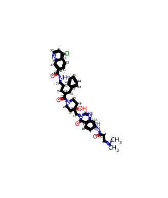 CN(C)CCC(=O)Nc1ccc2c(=O)n(CC3(O)CCN(C(=O)C(CCCNC(=O)c4ccc5c(Cl)ccnc5c4)Cc4ccccc4)CC3)cnc2c1